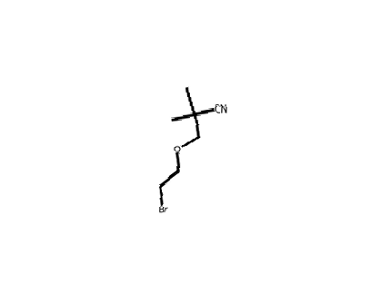 CC(C)(C#N)COCCBr